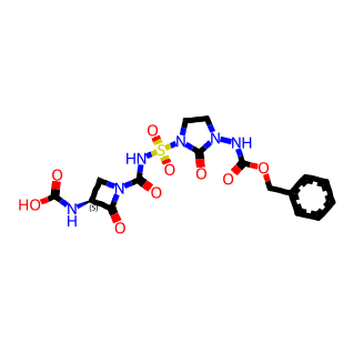 O=C(O)N[C@H]1CN(C(=O)NS(=O)(=O)N2CCN(NC(=O)OCc3ccccc3)C2=O)C1=O